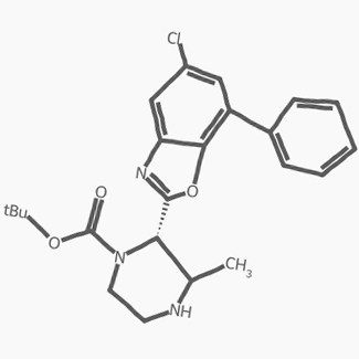 CC1NCCN(C(=O)OC(C)(C)C)[C@@H]1c1nc2cc(Cl)cc(-c3ccccc3)c2o1